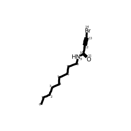 CCCCCCCCCNC(=O)C#CBr